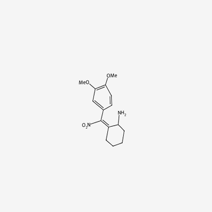 COc1ccc(C(=C2CCCCC2N)[N+](=O)[O-])cc1OC